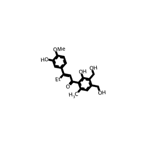 CC/C(=C\C(=O)c1c(C)cc(CO)c(CO)c1O)c1ccc(OC)c(O)c1